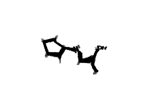 CC(O)C[N]C1CCCC1